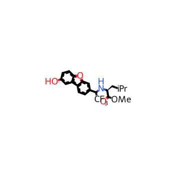 COC(=O)[C@H](CC(C)C)NC(c1ccc2c(c1)oc1ccc(O)cc12)C(F)(F)F